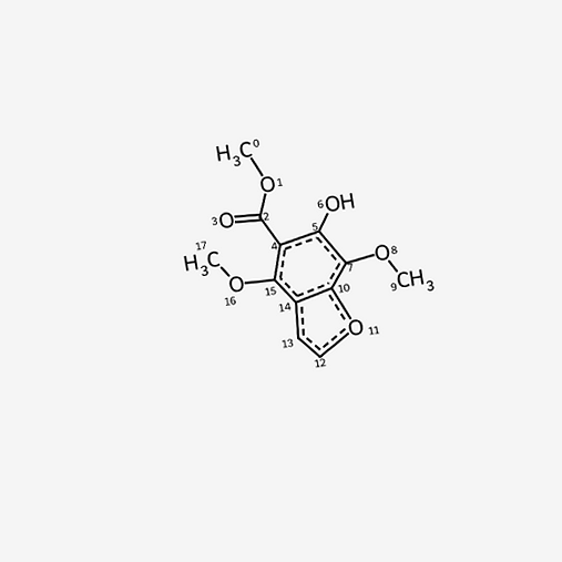 COC(=O)c1c(O)c(OC)c2occc2c1OC